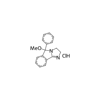 COC1(c2ccccc2)c2ccccc2C2=NCCN21.Cl